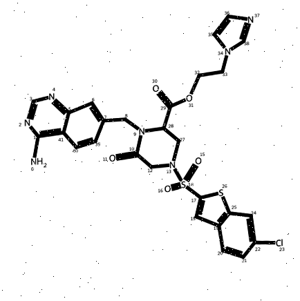 Nc1ncnc2cc(CN3C(=O)CN(S(=O)(=O)c4cc5ccc(Cl)cc5s4)CC3C(=O)OCCn3ccnc3)ccc12